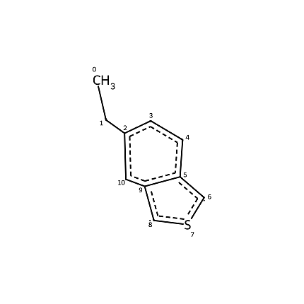 CCc1ccc2[c]s[c]c2c1